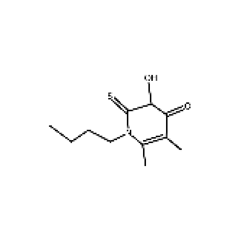 CCCCN1C(=S)C(O)C(=O)C(C)=C1C